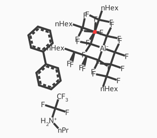 CCCCCCC(F)(F)C(F)(F)[C](F)(F)[Al-]([C](F)(F)C(F)(F)C(F)(F)CCCCCC)([C](F)(F)C(F)(F)C(F)(F)CCCCCC)[C](F)(F)C(F)(F)C(F)(F)CCCCCC.CCC[NH2+]C(F)(F)C(F)(F)F.c1ccc(-c2ccccc2)cc1